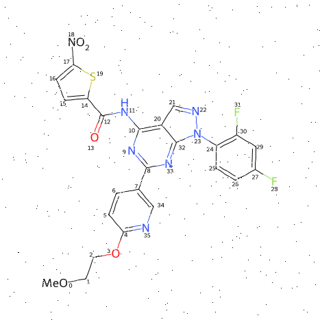 COCCOc1ccc(-c2nc(NC(=O)c3ccc([N+](=O)[O-])s3)c3cnn(-c4ccc(F)cc4F)c3n2)cn1